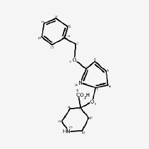 O=C(O)C1(Oc2cccc(OCc3ccccc3)n2)CCNCC1